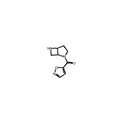 O=C(c1ccno1)N1CCC2NCC21